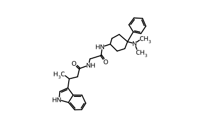 CC(CC(=O)NCC(=O)NC1CCC(c2ccccc2)(N(C)C)CC1)c1c[nH]c2ccccc12